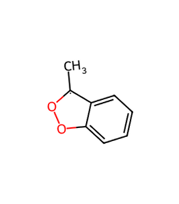 C[C]1OOc2ccccc21